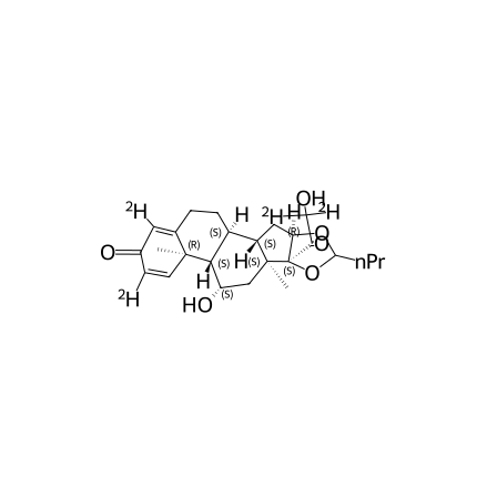 [2H]C1=C[C@@]2(C)C(=C([2H])C1=O)CC[C@@H]1[C@@H]2[C@@H](O)C[C@@]2(C)[C@H]1C[C@H]1OC(CCC)O[C@]12C(=O)C([2H])([2H])O